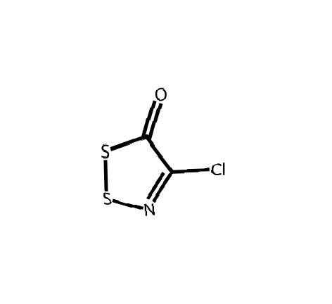 O=c1ssnc1Cl